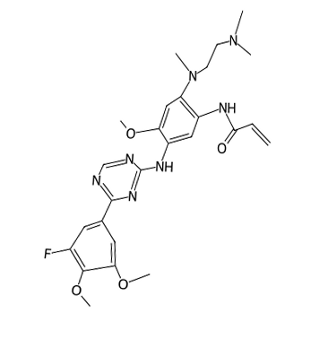 C=CC(=O)Nc1cc(Nc2ncnc(-c3cc(F)c(OC)c(OC)c3)n2)c(OC)cc1N(C)CCN(C)C